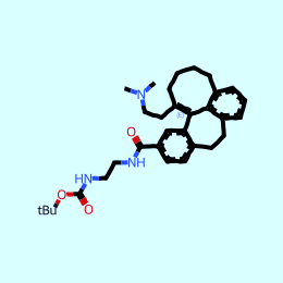 CN(C)CC/C1=C2\c3cc(C(=O)NCCNC(=O)OC(C)(C)C)ccc3CCc3cccc(c32)CCCC1